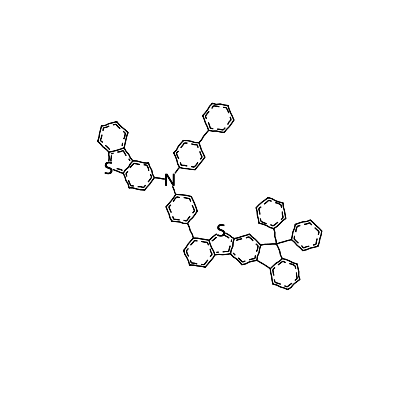 c1ccc(-c2ccc(N(c3ccc(-c4cccc5c4sc4cc6c(cc45)-c4ccccc4C6(c4ccccc4)c4ccccc4)cc3)c3ccc4sc5ccccc5c4c3)cc2)cc1